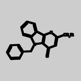 CCOC(=O)c1cc(=O)c2c(o1)c1ccccc1n2Cc1ccccc1